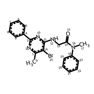 Cc1nc(-c2ccccc2)nc(NCC(=O)N(C)c2ccccc2)c1Br